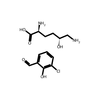 NC[C@H](O)CC[C@H](N)C(=O)O.O=Cc1cccc(Cl)c1O